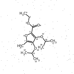 CCOC(=O)c1oc(C)c(OC(C)C)c1OC(C)C